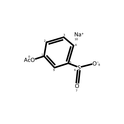 CC(=O)Oc1cccc(S(=O)[O-])c1.[Na+]